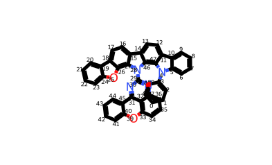 c1ccc(-n2c3ccccc3c3ccc4c5ccc6c7ccccc7oc6c5n(-c5nc6c7c(cccc7n5)Oc5ccccc5-6)c4c32)cc1